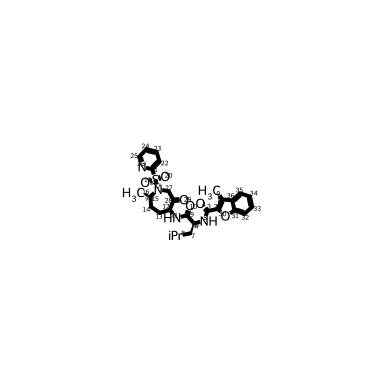 Cc1c(C(=O)N[C@@H](CC(C)C)C(=O)NC2CC[C@@H](C)N(S(=O)(=O)c3ccccn3)CC2=O)oc2ccccc12